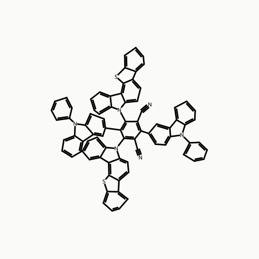 N#Cc1c(-c2ccc3c(c2)c2ccccc2n3-c2ccccc2)c(C#N)c(-n2c3ccccc3c3c4sc5ccccc5c4ccc32)c(-c2ccc3c(c2)c2ccccc2n3-c2ccccc2)c1-n1c2ccccc2c2c3sc4ccccc4c3ccc21